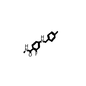 CNC(=O)c1ccc(NCc2ccc(C)cc2)cc1F